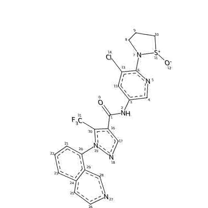 O=C(Nc1cnc(N2CCC[S+]2[O-])c(Cl)c1)c1cnn(-c2cccc3ccncc23)c1C(F)(F)F